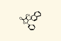 C=C1C(=O)O[C@H](c2ccccc2)[C@@H]1c1ccc2ccccc2c1